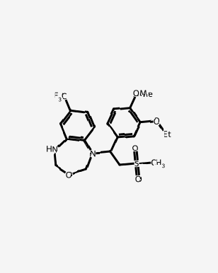 CCOc1cc(C(CS(C)(=O)=O)N2COCNc3cc(C(F)(F)F)ccc32)ccc1OC